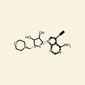 C#Cc1cn([C@@H]2S[C@H](CN3CCOCC3)C(O)C2O)c2ncnc(N)c12